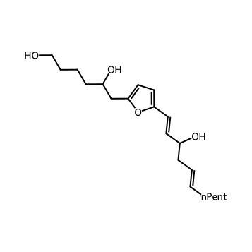 CCCCCC=CCC(O)C=Cc1ccc(CC(O)CCCCO)o1